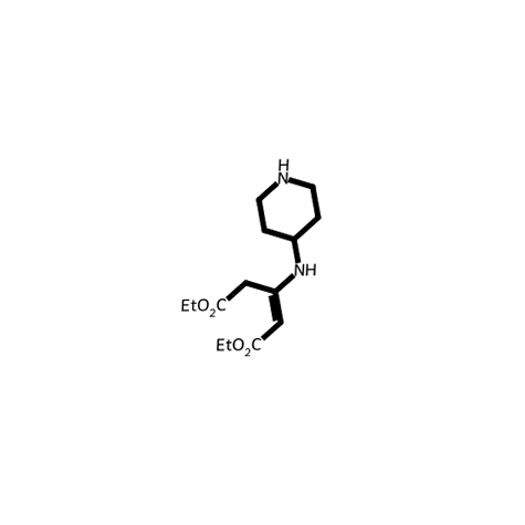 CCOC(=O)C=C(CC(=O)OCC)NC1CCNCC1